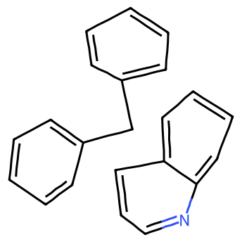 c1ccc(Cc2ccccc2)cc1.c1ccc2ncccc2c1